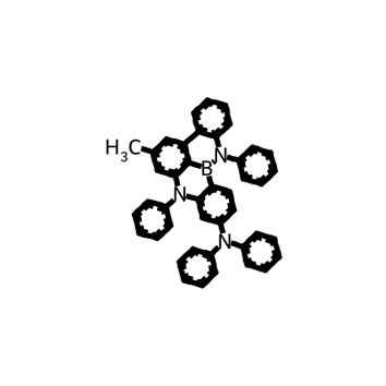 Cc1cc2c3c(c1)N(c1ccccc1)c1cc(N(c4ccccc4)c4ccccc4)ccc1B3N(c1ccccc1)c1ccccc1-2